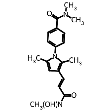 Cc1cc(C=CC(=O)N(C)O)c(C)n1-c1ccc(C(=O)N(C)C)cc1